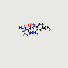 Nc1cccc(N)c1C(=O)NCc1ccc(C(F)(F)F)cc1